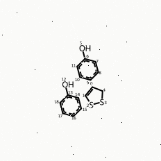 C1=CSSC1.Oc1ccccc1.Oc1ccccc1